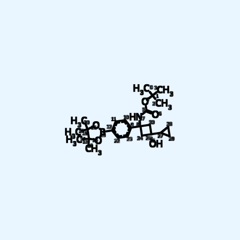 CC(C)(C)OC(=O)N[C@]1(c2ccc(B3OC(C)(C)C(C)(C)O3)cc2)C[C@](O)(C2CC2)C1